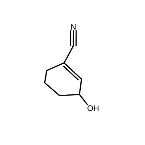 N#CC1=CC(O)CCC1